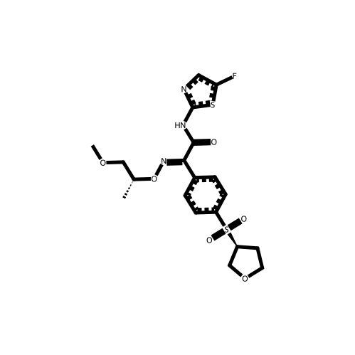 COC[C@@H](C)O/N=C(/C(=O)Nc1ncc(F)s1)c1ccc(S(=O)(=O)[C@H]2CCOC2)cc1